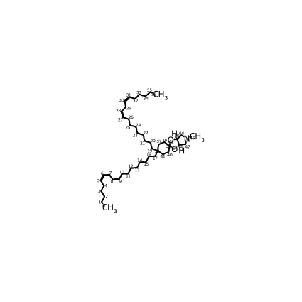 CCCCC/C=C\C/C=C\CCCCCCCCC1(CCCCCCCC/C=C\C/C=C\CCCCC)CCC2(CC1)O[C@@H]1CN(C)C[C@H]1O2